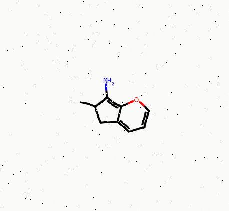 CC1CC2=CC=COC2=C1N